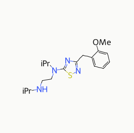 COc1ccccc1Cc1nsc(N(CCNC(C)C)C(C)C)n1